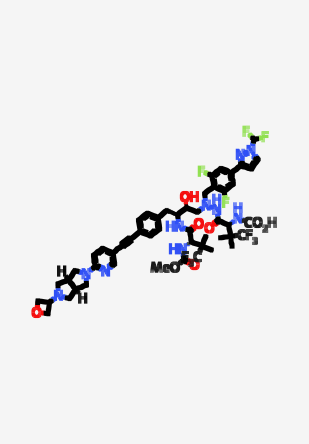 COC(=O)N[C@H](C(=O)N[C@@H](Cc1ccc(C#Cc2ccc(N3C[C@@H]4CN(C5COC5)C[C@@H]4C3)nc2)cc1)[C@@H](O)CN(Cc1c(F)cc(-c2ccn(C(F)F)n2)cc1F)NC(=O)[C@@H](NC(=O)O)C(C)(C)C(F)(F)F)C(C)(C)C(F)(F)F